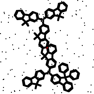 CC1(C)c2ccccc2-c2ccc(N(c3ccc4c(c3)C(C)(C)c3ccccc3-4)c3ccc4c(c3)C(C)(C)c3cc(CC5(C)c6ccccc6-c6ccc(N(c7ccc8c(c7)C(C)(C)c7ccccc7-8)c7ccc8c(c7)C(c7ccccc7)(c7ccccc7)c7ccccc7-8)cc65)ccc3-4)cc21